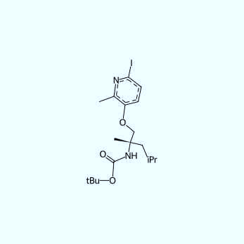 Cc1nc(I)ccc1OC[C@](C)(CC(C)C)NC(=O)OC(C)(C)C